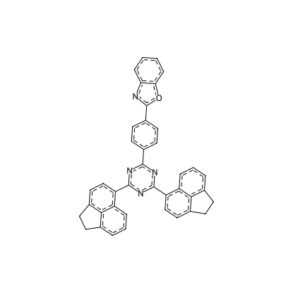 c1ccc2oc(-c3ccc(-c4nc(-c5ccc6c7c(cccc57)CC6)nc(-c5ccc6c7c(cccc57)CC6)n4)cc3)nc2c1